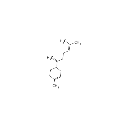 C=C(CCC=C(C)C)[C@@H]1CC=C(C)CC1